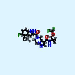 Cc1c(F)ccc2[nH]c(C(=O)N3CCn4ncc(C(=O)NC5(COC(F)F)CC5)c4C3)cc12